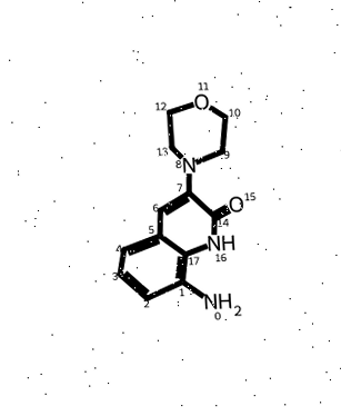 Nc1cccc2cc(N3CCOCC3)c(=O)[nH]c12